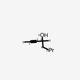 CC#CC(C)(O)CC(C)C